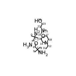 CC(C)(N)COCC(C)(C)N.CCN1CCOCC1.CN(C)CCO.N